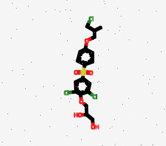 CC(CCl)COc1ccc(S(=O)(=O)c2cc(Cl)c(OCC(O)CO)c(Cl)c2)cc1